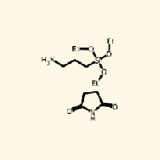 CCO[Si](CCCN)(OCC)OCC.O=C1CCC(=O)N1